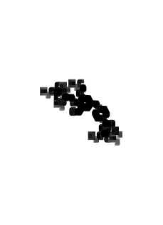 CCOc1cc(CN2CCN(C(=O)OC(C)(C)C)CC2)cc(C=O)c1OCC(=O)OC(C)(C)C